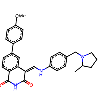 COc1ccc(-c2ccc3c(c2)C(=CNc2ccc(CN4CCCC4C)cc2)C(=O)NC3=O)cc1